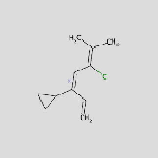 C=C/C(=C\C(Cl)=C(C)C)C1CC1